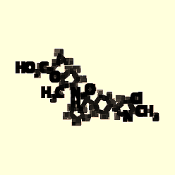 Cc1ncc(-c2ccc(C(C(=O)Nc3cccc(OC(C(=O)O)C4CC4)c3C)C3CCCC3)cc2)cc1Cl